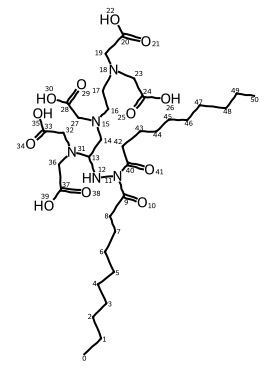 CCCCCCCCCC(=O)N(NC(CN(CCN(CC(=O)O)CC(=O)O)CC(=O)O)N(CC(=O)O)CC(=O)O)C(=O)CCCCCCCCC